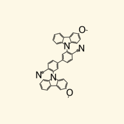 COc1ccc2c(c1)c1ccccc1n2-c1cc(-c2ccc(C#N)c(-n3c4ccccc4c4cc(OC)ccc43)c2)ccc1C#N